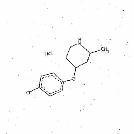 CC1CC(Oc2ccc(Cl)cc2)CCN1.Cl